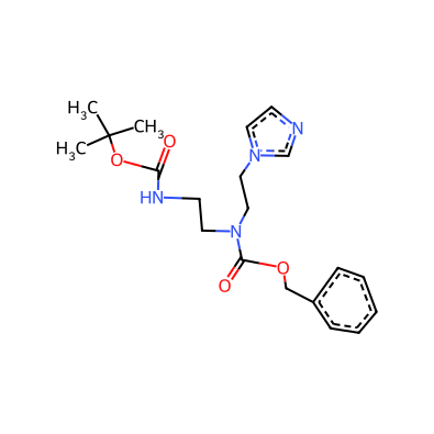 CC(C)(C)OC(=O)NCCN(CCn1ccnc1)C(=O)OCc1ccccc1